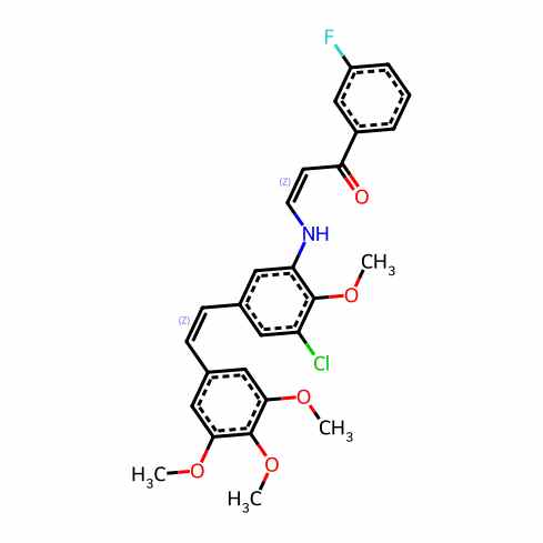 COc1cc(/C=C\c2cc(Cl)c(OC)c(N/C=C\C(=O)c3cccc(F)c3)c2)cc(OC)c1OC